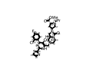 COC(=O)[C@H]1C[C@H](N2C[C@@H]3CN(CC4=C(C(=O)O)[C@H](c5ccc(F)cc5Cl)N=C(c5nccs5)N4)CCN3C2=O)CN1C(C)C